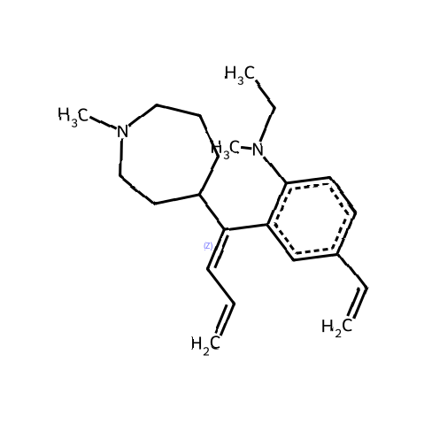 C=C/C=C(\c1cc(C=C)ccc1N(C)CC)C1CCCN(C)CC1